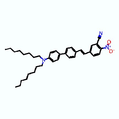 CCCCCCCCN(CCCCCCCC)c1ccc(-c2ccc(/C=C/c3ccc([N+](=O)[O-])c(C#N)c3)cc2)cc1